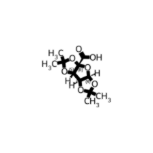 CC1(C)O[C@@H]2O[C@@]3(C(=O)O)OC(C)(C)O[C@H]3[C@@H]2O1